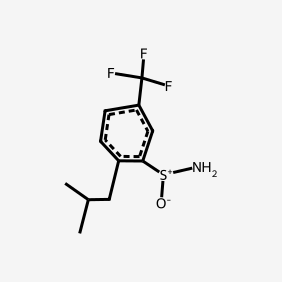 CC(C)Cc1ccc(C(F)(F)F)cc1[S+](N)[O-]